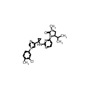 Cc1ccc(-n2cnc(C3(Nc4nccc(N5C(=O)N(C)CC5C(C)C)n4)CC3)c2)cc1Cl